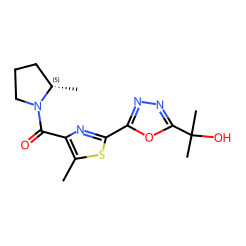 Cc1sc(-c2nnc(C(C)(C)O)o2)nc1C(=O)N1CCC[C@@H]1C